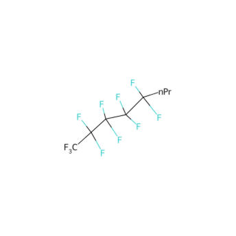 CCCC(F)(F)C(F)(F)C(F)(F)C(F)(F)C(F)(F)F